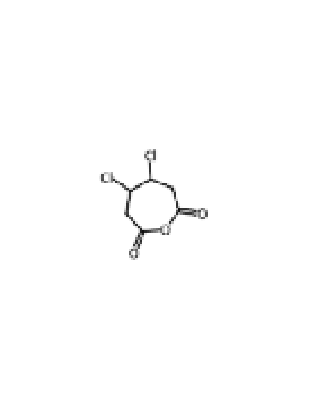 O=C1CC(Cl)C(Cl)CC(=O)O1